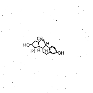 CC(C)[C@H]1[C@H]2[C@@H]3CCc4cc(O)ccc4[C@H]3CC[C@]2(C)C[C@@H]1O